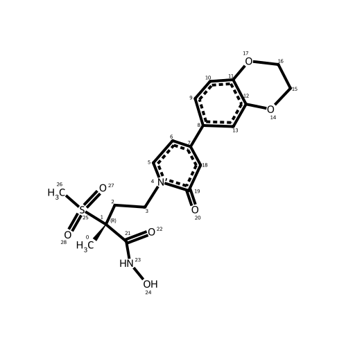 C[C@@](CCn1ccc(-c2ccc3c(c2)OCCO3)cc1=O)(C(=O)NO)S(C)(=O)=O